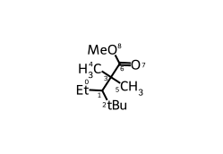 CCC(C(C)(C)C)C(C)(C)C(=O)OC